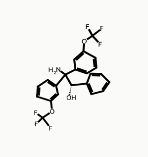 NC(c1cccc(OC(F)(F)F)c1)(c1cccc(OC(F)(F)F)c1)[C@@H](O)c1ccccc1